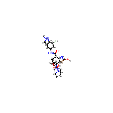 COc1nc2c(C(=O)Nc3cc(F)c4nn(C)cc4c3)ccc(N3CC4CCC(C3)N4C(=O)OC(C)(C)C)c2s1